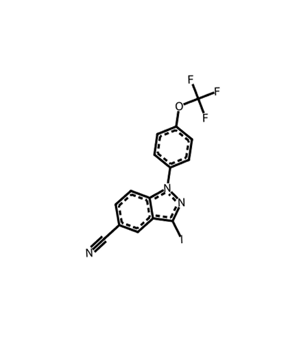 N#Cc1ccc2c(c1)c(I)nn2-c1ccc(OC(F)(F)F)cc1